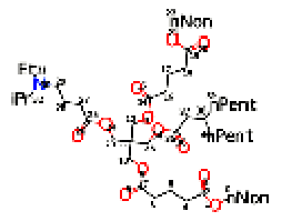 CCCCCCCCCOC(=O)CCCC(=O)OCC(COC(=O)CCCC(=O)OCCCCCCCCC)(COC(=O)CCCN(CC)C(C)C)COC(=O)CC(CCCCC)CCCCC